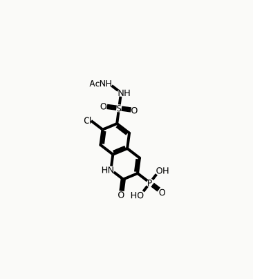 CC(=O)NNS(=O)(=O)c1cc2cc(P(=O)(O)O)c(=O)[nH]c2cc1Cl